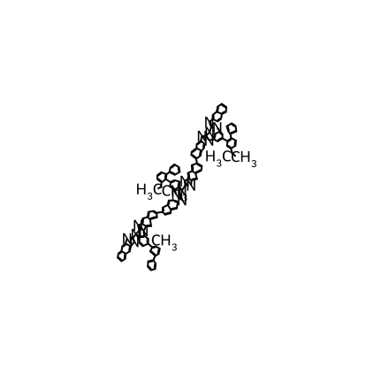 Cc1ccc(-c2ccccc2)cc1-c1cc2c3c(c1)n1c4cc5cc(-c6ccc7cc8nc9n(c8cc7c6)c6cc(-c7c(-c8ccccc8)cccc7C(C)C)cc7c6n9c6nc8cc9ccc(-c%10ccc%11cc%12nc%13n(c%12cc%11c%10)c%10cc(-c%11cc(C(C)C)ccc%11-c%11ccccc%11)cc%11c%10n%13c%10nc%12cc%13ccccc%13cc%12n%11%10)cc9cc8n76)ccc5cc4nc1n3c1nc3cc4ccccc4cc3n21